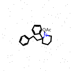 CC(=O)ON1CCCCC1(CCc1ccccc1)c1ccccc1